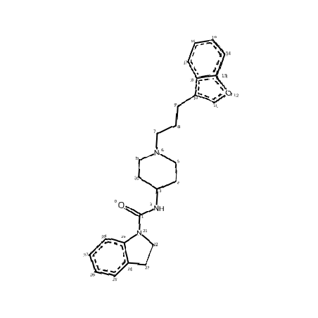 O=C(NC1CCN(CCCc2coc3ccccc23)CC1)N1CCc2ccccc21